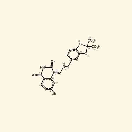 O=C1NC(=O)c2ccc(Br)cc2/C1=C/NCc1ccc2c(c1)OC(C(=O)O)(C(=O)O)O2